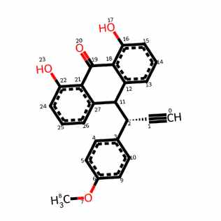 C#C[C@H](c1ccc(OC)cc1)C1c2cccc(O)c2C(=O)c2c(O)cccc21